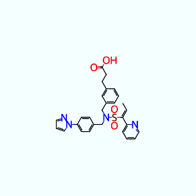 CC=C(c1ccccn1)S(=O)(=O)N(Cc1ccc(-n2cccn2)cc1)Cc1cccc(CCC(=O)O)c1